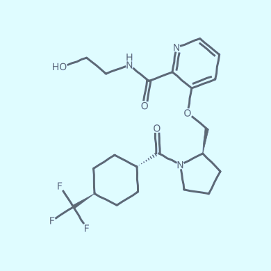 O=C(NCCO)c1ncccc1OC[C@H]1CCCN1C(=O)[C@H]1CC[C@H](C(F)(F)F)CC1